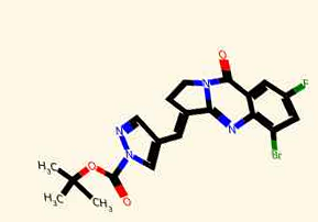 CC(C)(C)OC(=O)n1cc(C=C2CCn3c2nc2c(Br)cc(F)cc2c3=O)cn1